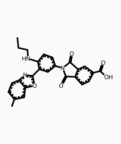 CCCNc1ccc(N2C(=O)c3ccc(C(=O)O)cc3C2=O)cc1-c1nc2ccc(C)cc2o1